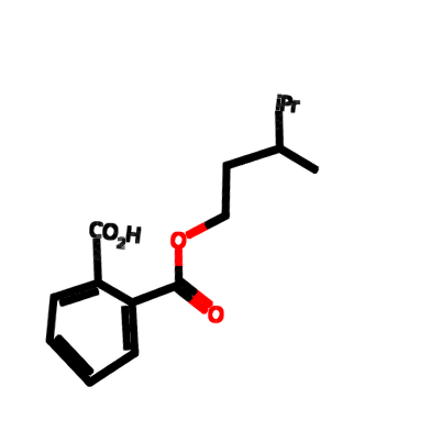 CC(C)C(C)CCOC(=O)c1ccccc1C(=O)O